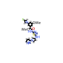 COc1cc([C@H](OC)C(=O)Nc2nnc(N[C@@H]3CCN(c4cccnn4)C3)s2)cc(N2CC(F)C2)c1